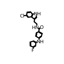 O=C(NCCc1c[nH]c2ccc(Cl)cc12)c1ccc(Nc2cccc(F)c2)cc1